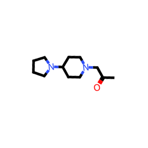 CC(=O)CN1CCC(N2CCCC2)CC1